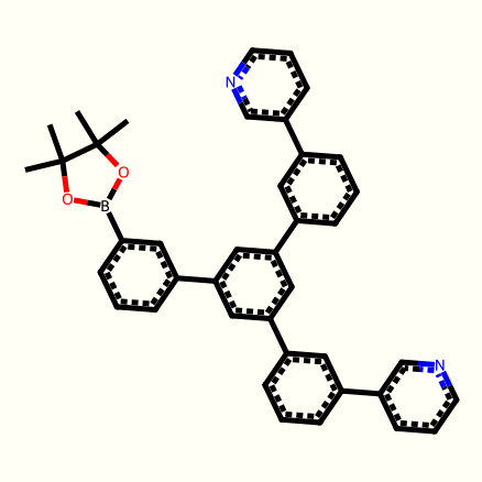 CC1(C)OB(c2cccc(-c3cc(-c4cccc(-c5cccnc5)c4)cc(-c4cccc(-c5cccnc5)c4)c3)c2)OC1(C)C